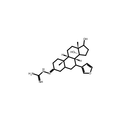 C[C@]12CCC(=NNC(=N)N)CC1CC(c1ccoc1)[C@@H]1[C@H]2CC[C@]2(C)C(O)CC[C@@]12O